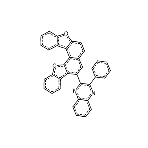 c1ccc(-c2nc3ccccc3nc2-c2cc3ccc4oc5ccccc5c4c3c3oc4ccccc4c23)cc1